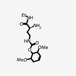 CCNC(=O)[C@@H](N)CCNC(=O)OC1C(OC)C=CCC1OC